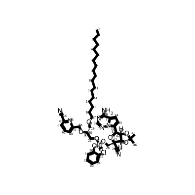 CCCCCCCCCCCCCCCCCCOC[C@H](COP(=O)(OC[C@@]1(C#N)OC(c2ccc3c(N)ncnn23)[C@@H]2OC(C)(C)O[C@@H]21)Oc1ccccc1Cl)OCc1cccc(C#N)n1